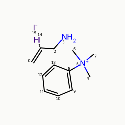 C=CCN.C[N+](C)(C)c1ccccc1.I.[I-]